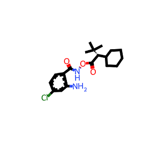 CC(C)(C)[C@@H](C(=O)ONC(=O)c1ccc(Cl)cc1N)C1CCCCC1